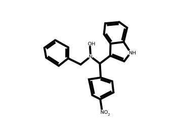 O=[N+]([O-])c1ccc(C(c2c[nH]c3ccccc23)N(O)Cc2ccccc2)cc1